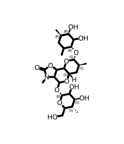 CC1C[C@@H](C)[C@@H](O)C(O)[C@@H]1O[C@H]1OC2C3OC(=O)N(C)C3C(O[C@H]3OC(CO)[C@@H](C)[C@H](O)C3O)O[C@H]2C[C@@H]1C